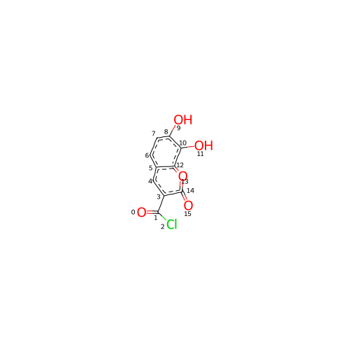 O=C(Cl)c1cc2ccc(O)c(O)c2oc1=O